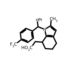 CCCC(c1ccc(C(F)(F)F)cc1)n1c(C)cc2c1C(CC(=O)O)CCC2